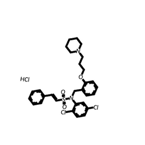 Cl.O=S(=O)(/C=C/c1ccccc1)N(Cc1ccccc1OCCCN1CCCCC1)c1cc(Cl)ccc1Cl